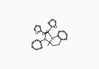 CC1(N(C(=O)c2ccco2)c2ccccc2)CCc2ccccc2N1C(=O)c1ccco1